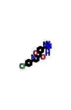 O=c1c2cc(-c3nnn[nH]3)ccc2oc2nc(-c3ccc(Cl)cc3)ccc12